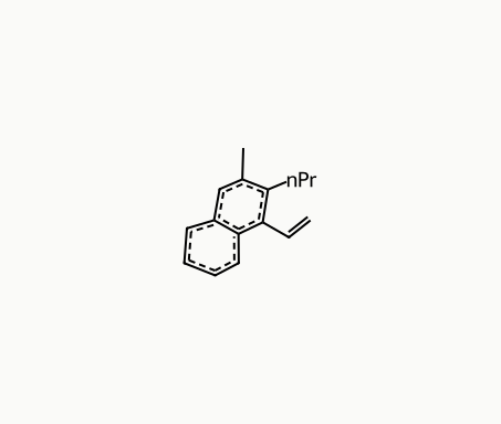 C=Cc1c(CCC)c(C)cc2ccccc12